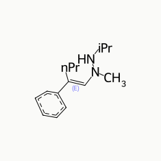 CCC/C(=C\N(C)NC(C)C)c1ccccc1